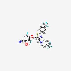 COc1c(C#N)cc(F)c(OCc2sc(-c3ccc(C(F)(F)F)cc3)nc2CN2CCC(C(F)(F)F)CC2)c1F